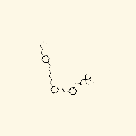 CCCCc1ccc(CCCCCCc2cccc(/C=C/c3cccc(NC(=O)CC(CC)(CC)C(=O)O)c3)n2)cc1